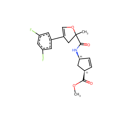 COC(=O)[C@@H]1C=C[C@H](NC(=O)C2(C)CC(c3cc(F)cc(F)c3)=CO2)C1